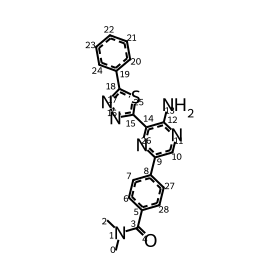 CN(C)C(=O)c1ccc(-c2cnc(N)c(-c3nnc(-c4ccccc4)s3)n2)cc1